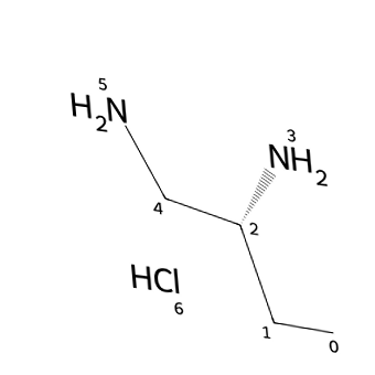 CC[C@@H](N)CN.Cl